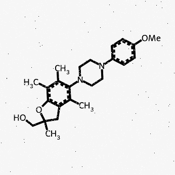 COc1ccc(N2CCN(c3c(C)c(C)c4c(c3C)CC(C)(CO)O4)CC2)cc1